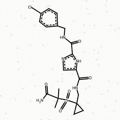 CC(C)(C(N)=O)S(=O)(=O)C1(CNC(=O)c2cnc(C(=O)NCc3ccc(Cl)cc3)[nH]2)CC1